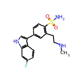 CNCCc1cc(-c2c[nH]c3cc(F)ccc23)ccc1S(N)(=O)=O